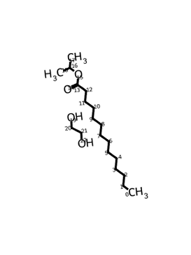 CCCCCCCCCCCCCC(=O)OC(C)C.OCCO